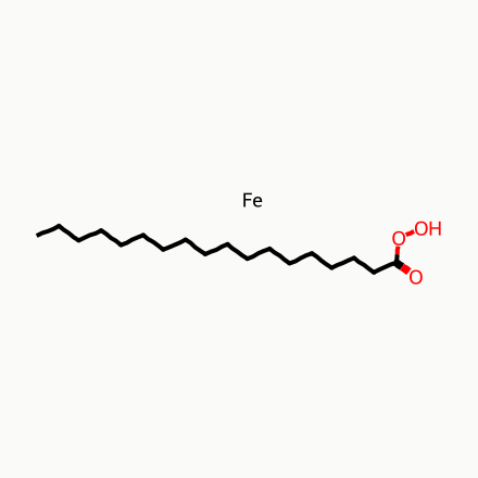 CCCCCCCCCCCCCCCCCC(=O)OO.[Fe]